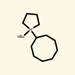 CCCC[N+]1(C2CCCCCCC2)CCCC1